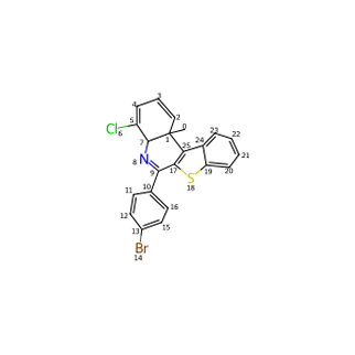 CC12C=CC=C(Cl)C1N=C(c1ccc(Br)cc1)c1sc3ccccc3c12